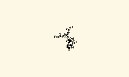 CC(C)OC(=O)OCOP(=O)(OCOC(=O)OC(C)C)OC[C@H]1O[C@@H](n2ccc(=O)[nH]c2=S)[C@](C)(O)C1O